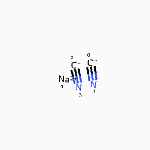 [C-]#N.[C-]#N.[Na+2]